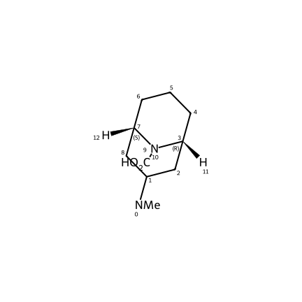 CNC1C[C@H]2CCC[C@@H](C1)N2C(=O)O